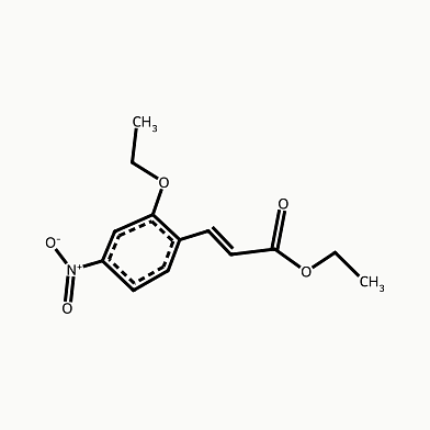 CCOC(=O)C=Cc1ccc([N+](=O)[O-])cc1OCC